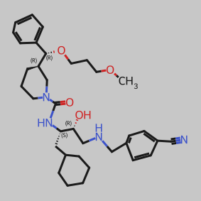 COCCCO[C@@H](c1ccccc1)[C@@H]1CCCN(C(=O)N[C@@H](CC2CCCCC2)[C@H](O)CNCc2ccc(C#N)cc2)C1